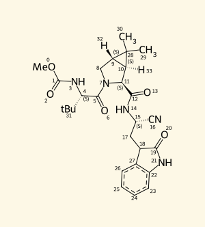 COC(=O)N[C@H](C(=O)N1C[C@H]2[C@H]([C@H]1C(=O)N[C@H](C#N)CC1C(=O)Nc3ccccc31)C2(C)C)C(C)(C)C